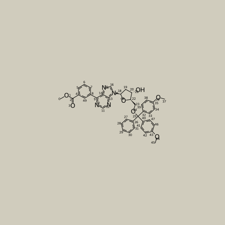 COC(=O)c1cccc(-c2ncnc3c2ncn3[C@H]2C[C@H](O)[C@@H](COC(c3ccccc3)(c3ccc(OC)cc3)c3ccc(OC)cc3)O2)c1